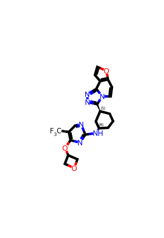 FC(F)(F)c1cnc(N[C@@H]2CCC[C@H](c3nnc4c5ccoc5ccn34)C2)nc1OC1COC1